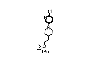 CC(C)(C)[Si](C)(C)OCCC1CCN(c2ccc(Cl)nc2)CC1